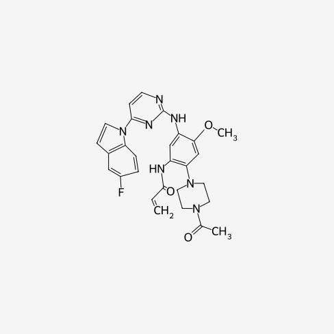 C=CC(=O)Nc1cc(Nc2nccc(-n3ccc4cc(F)ccc43)n2)c(OC)cc1N1CCN(C(C)=O)CC1